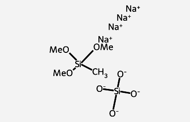 CO[Si](C)(OC)OC.[Na+].[Na+].[Na+].[Na+].[O-][Si]([O-])([O-])[O-]